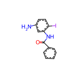 Nc1ccc(I)c(NC(=O)c2ccccc2)c1